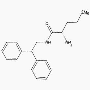 CSCC[C@H](N)C(=O)NCC(c1ccccc1)c1ccccc1